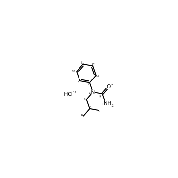 CC(C)CN(C(N)=O)c1ccccc1.Cl